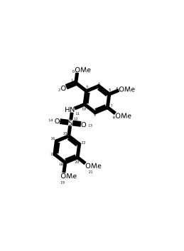 COC(=O)c1cc(OC)c(OC)cc1NS(=O)(=O)c1ccc(OC)c(OC)c1